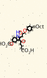 CCCCCCCCc1ccc(OCC(=O)Cc2[nH]c3ccc(OC(=O)O)cc3c2C(=O)CCCC(=O)O)cc1